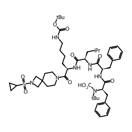 CC(C)C[C@@H](NC(=O)[C@@H](Cc1ccccc1)NC(=O)[C@@H](Cc1ccccc1)N(C(=O)O)C(C)(C)C)C(=O)N[C@H](CCCCNC(=O)OC(C)(C)C)C(=O)N1CCC2(CC1)CN(S(=O)(=O)C1CC1)C2